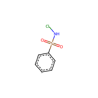 O=S(=O)(NCl)c1cc[c]cc1